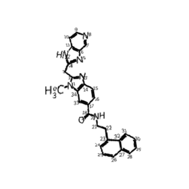 Cn1c(Cc2nc3cnccc3[nH]2)nc2ccc(C(=O)NCCc3cccc4ccccc34)cc21